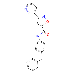 O=C(Nc1ccc(Cc2ccccc2)cc1)C1CC(c2cccnc2)=NO1